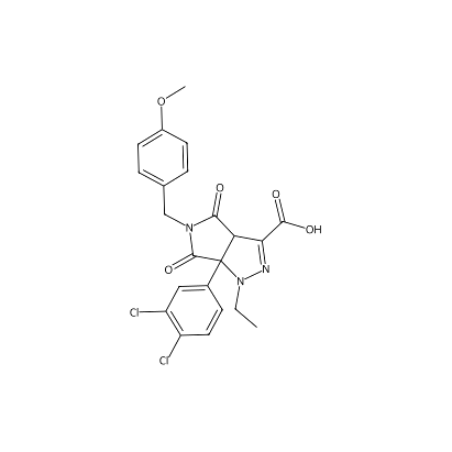 CCN1N=C(C(=O)O)C2C(=O)N(Cc3ccc(OC)cc3)C(=O)C21c1ccc(Cl)c(Cl)c1